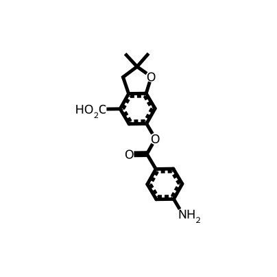 CC1(C)Cc2c(cc(OC(=O)c3ccc(N)cc3)cc2C(=O)O)O1